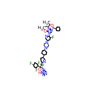 CCC(C(C)OCc1ccccc1)n1ncn(-c2ncc(N3CCN(c4ccc(-c5ccc(C(F)(F)C(O)(Cn6cnnn6)c6ccc(F)cc6F)nc5)cc4)CC3)cc2F)c1=O